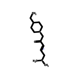 CCC1CCN(CC(=O)/C=C/CN(C)C)CC1